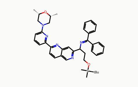 C[C@@H]1CN(c2cccc(-c3ccc4cnc(C(CCO[Si](C)(C)C(C)(C)C)N=C(c5ccccc5)c5ccccc5)cc4n3)n2)C[C@H](C)O1